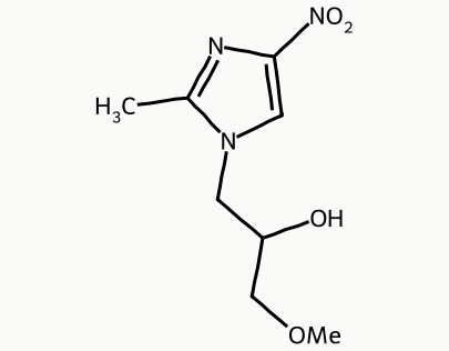 COCC(O)Cn1cc([N+](=O)[O-])nc1C